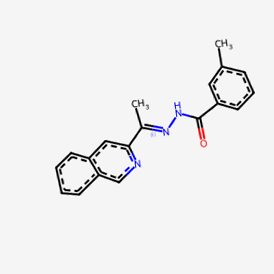 C/C(=N\NC(=O)c1cccc(C)c1)c1cc2ccccc2cn1